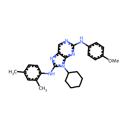 COc1ccc(Nc2ncc3nc(Nc4ccc(C)cc4C)n(C4CCCCC4)c3n2)cc1